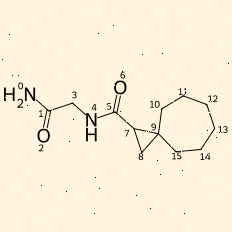 NC(=O)CNC(=O)C1CC12CCCCCC2